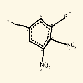 O=[N+]([O-])c1cc(F)cc(F)c1[N+](=O)[O-]